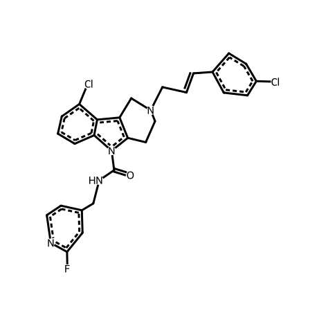 O=C(NCc1ccnc(F)c1)n1c2c(c3c(Cl)cccc31)CN(C/C=C/c1ccc(Cl)cc1)CC2